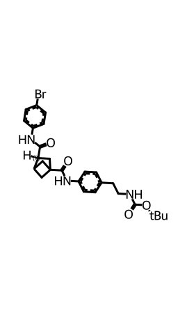 CC(C)(C)OC(=O)NCCc1ccc(NC(=O)C23CC(C2)[C@H](C(=O)Nc2ccc(Br)cc2)C3)cc1